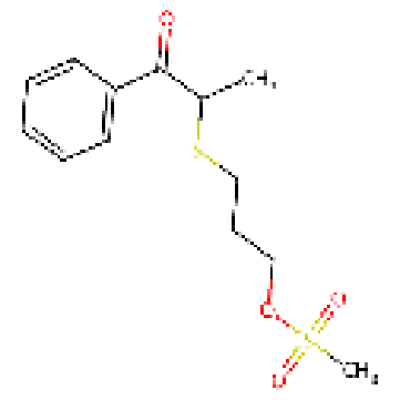 CC(SCCCOS(C)(=O)=O)C(=O)c1ccccc1